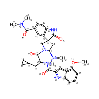 C=[N+](C)[C@@H]1C[C@@]2(CN1C(=O)[C@H](CC1CC1)NC(=O)c1cc3c(OC)cccc3[nH]1)C(=O)Nc1ccc(C(=O)N(C)C)cc12